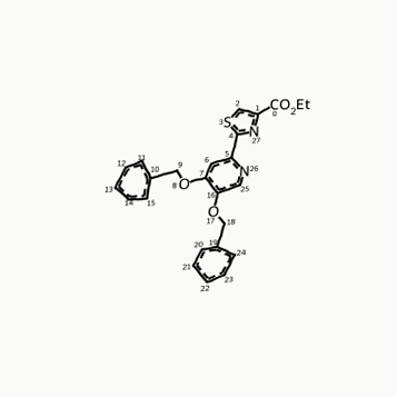 CCOC(=O)c1csc(-c2cc(OCc3ccccc3)c(OCc3ccccc3)cn2)n1